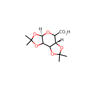 CC1(C)OC2C3OC(C)(C)O[C@H]3C(C(=O)O)O[C@@H]2O1